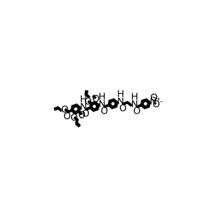 C=CCOC(=O)c1ccc(NC(=O)c2ccc(NC(=O)c3ccc(NC(=O)CCNC(=O)c4ccc([N+](=O)[O-])cc4)cc3)c(OC)c2OCC=C)c(OC)c1OCC=C